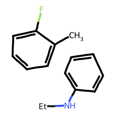 CCNc1ccccc1.Cc1ccccc1F